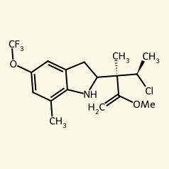 C=C(OC)[C@@](C)(C1Cc2cc(OC(F)(F)F)cc(C)c2N1)[C@@H](C)Cl